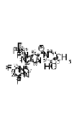 CC1(CO)CCN(C(=O)c2cc3c(cn2)c(-c2cnc4c(F)cc(F)cn24)nn3CC(F)(F)F)CC1